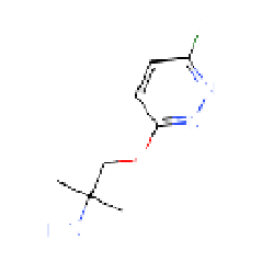 CC(C)(N)COc1ccc(Cl)nn1